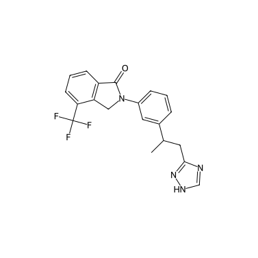 CC(Cc1nc[nH]n1)c1cccc(N2Cc3c(cccc3C(F)(F)F)C2=O)c1